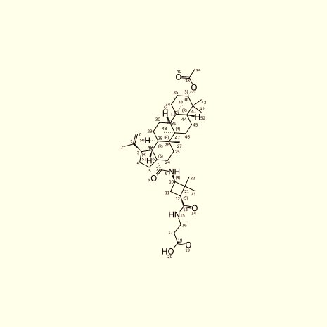 C=C(C)[C@@H]1CC[C@]2(C(=O)N[C@@H]3C[C@H](C(=O)NCCC(=O)O)C3(C)C)CC[C@]3(C)[C@H](CC[C@@H]4[C@@]5(C)CC[C@H](OC(C)=O)C(C)(C)[C@@H]5CC[C@]43C)[C@@H]12